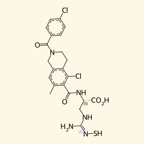 Cc1cc2c(c(Cl)c1C(=O)N[C@@H](CN/C(N)=N\S)C(=O)O)CCN(C(=O)c1ccc(Cl)cc1)C2